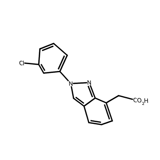 O=C(O)Cc1cccc2cn(-c3cccc(Cl)c3)nc12